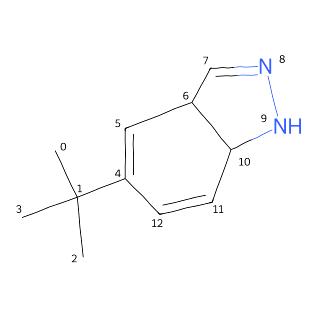 CC(C)(C)C1=CC2C=NNC2C=C1